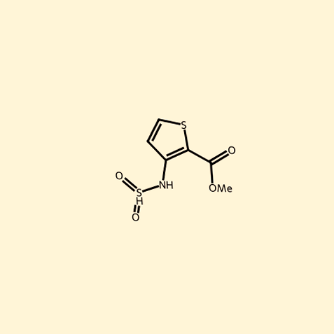 COC(=O)c1sccc1N[SH](=O)=O